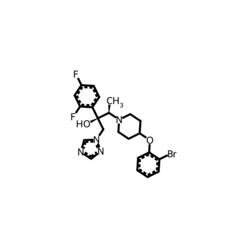 C[C@@H](N1CCC(Oc2ccccc2Br)CC1)[C@](O)(Cn1cncn1)c1ccc(F)cc1F